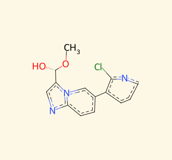 CO[C@@H](O)c1cnc2ccc(-c3cccnc3Cl)cn12